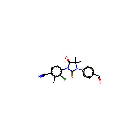 Cc1c(C#N)ccc(N2C(=O)C(C)(C)N(c3ccc(C=O)cc3)C2=S)c1F